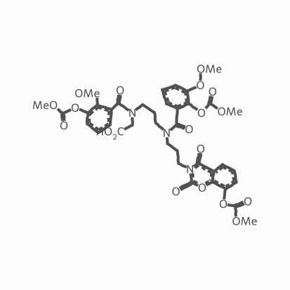 COOc1cccc(C(=O)N(CCCN(CC(=O)O)C(=O)c2cccc(OC(=O)OC)c2OC)CCCn2c(=O)oc3c(OC(=O)OC)cccc3c2=O)c1OC(=O)OC